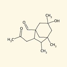 CC(=O)CC1C(C)C2(C)CC(C)(O)CC1(C=O)C2